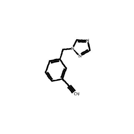 C#Cc1cccc(Cn2cncn2)c1